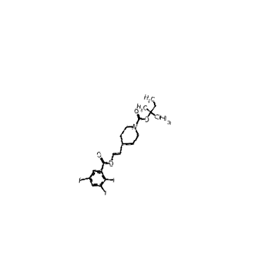 CCC(C)(C)OC(=O)N1CCC(CCOC(=O)c2cc(I)cc(I)c2I)CC1